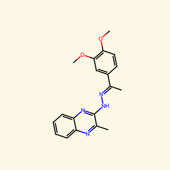 COc1ccc(/C(C)=N/Nc2nc3ccccc3nc2C)cc1OC